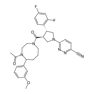 COc1cccc(C2CCCN(C(=O)[C@@H]3CN(c4ccc(C#N)nn4)C[C@H]3c3ccc(F)cc3F)CCN2C(C)=O)c1